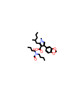 CCCC(C)Cc1c(C(=O)O)c(-c2ccc3c(c2)OCO3)cn1C.CCCCN(C=O)CCCC